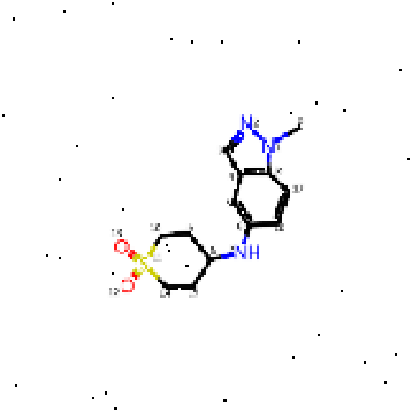 Cn1ncc2cc(NC3CCS(=O)(=O)CC3)ccc21